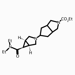 CCOC(=O)N1CC2CC(N3C[C@@H]4[C@H](C3)[C@@H]4C(=O)N(CC)CC)CC2C1